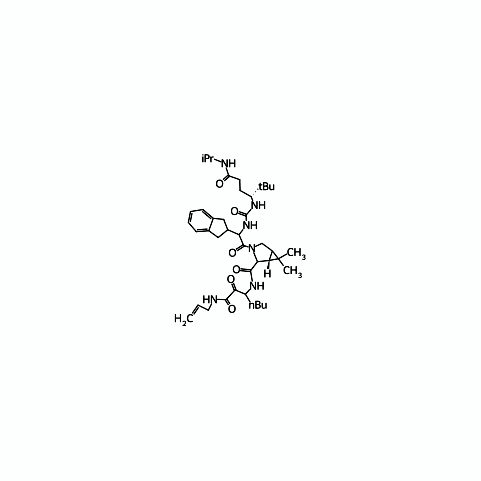 C=CCNC(=O)C(=O)C(CCCC)NC(=O)C1[C@@H]2C(CN1C(=O)C(NC(=O)N[C@H](CCC(=O)NC(C)C)C(C)(C)C)C1Cc3ccccc3C1)C2(C)C